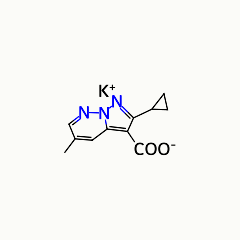 Cc1cnn2nc(C3CC3)c(C(=O)[O-])c2c1.[K+]